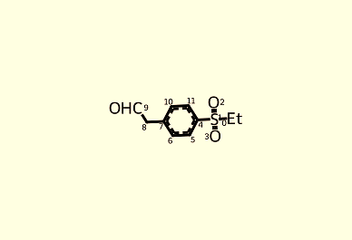 CCS(=O)(=O)c1ccc(CC=O)cc1